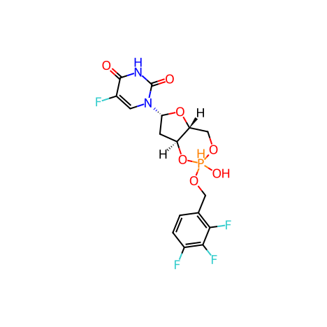 O=c1[nH]c(=O)n([C@H]2C[C@@H]3O[PH](O)(OCc4ccc(F)c(F)c4F)OC[C@H]3O2)cc1F